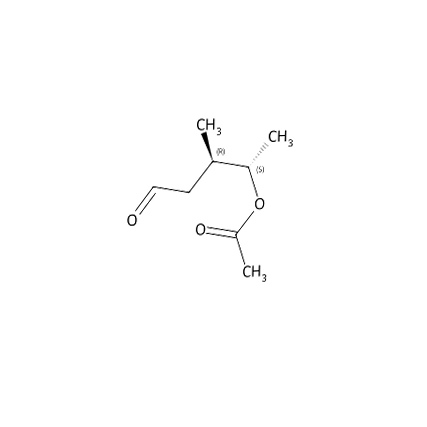 CC(=O)O[C@@H](C)[C@H](C)CC=O